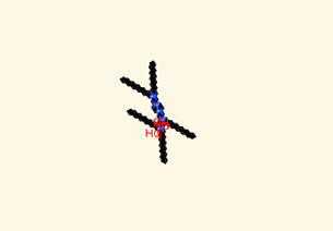 CCCCCCCCCCCCN(CCCCCCCCCCCC)CCN1CCN(CCN(CCN(CC(O)CCCCCCCCCC)CC(O)CCCCCCCCCC)CC(O)CCCCCCCCCC)CC1